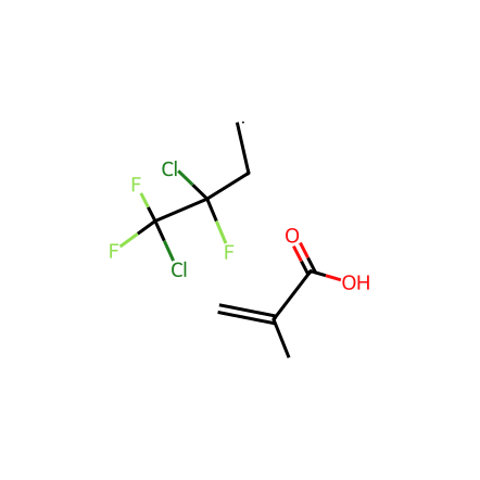 C=C(C)C(=O)O.[CH2]CC(F)(Cl)C(F)(F)Cl